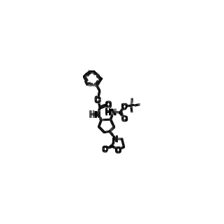 CC(C)(C)OC(=O)NC1CC(N2CCOC2=O)CCC1NC(=O)OCc1ccccc1